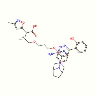 Cc1cc(C(C(=O)O)[C@@H](C)COCCCOc2cc(N3C4CCC3CN(c3cc(-c5ccccc5O)nnc3N)C4)ccn2)on1